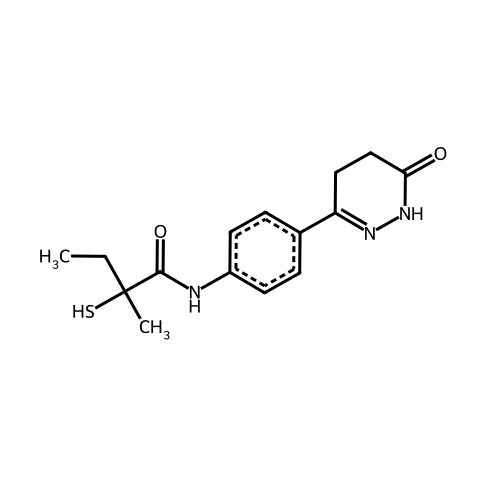 CCC(C)(S)C(=O)Nc1ccc(C2=NNC(=O)CC2)cc1